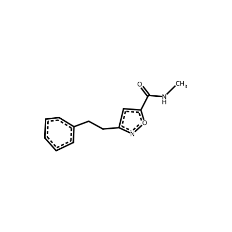 CNC(=O)c1cc(CCc2ccccc2)no1